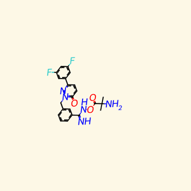 CC(C)(N)C(=O)ONC(=N)c1cccc(Cn2nc(-c3cc(F)cc(F)c3)ccc2=O)c1